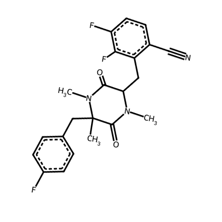 CN1C(=O)C(C)(Cc2ccc(F)cc2)N(C)C(=O)C1Cc1c(C#N)ccc(F)c1F